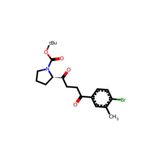 Cc1cc(C(=O)CCC(=O)[C@@H]2CCCN2C(=O)OC(C)(C)C)ccc1Br